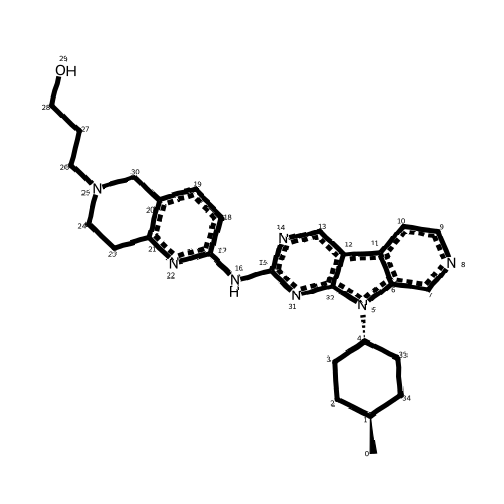 C[C@H]1CC[C@H](n2c3cnccc3c3cnc(Nc4ccc5c(n4)CCN(CCCO)C5)nc32)CC1